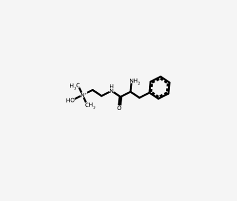 C[N+](C)(O)CCNC(=O)C(N)Cc1ccccc1